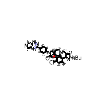 C/N=C(\N=N/n1ccnc1)c1ccc(N2CC3(CCN(Cc4cn(C(C)(C)C)nc4-c4cc(F)c(Cl)cc4F)CC3)OC2=O)cc1